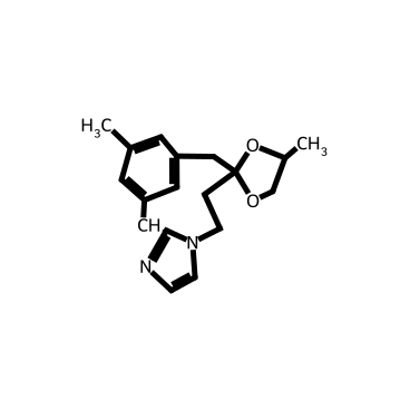 Cc1cc(C)cc(CC2(CCn3ccnc3)OCC(C)O2)c1